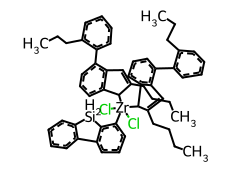 CCCCC1=Cc2c(-c3ccccc3CCC)cccc2[CH]1[Zr]([Cl])([Cl])([c]1cccc2c1[SiH2]c1ccccc1-2)[CH]1C(CCCC)=Cc2c(-c3ccccc3CCC)cccc21